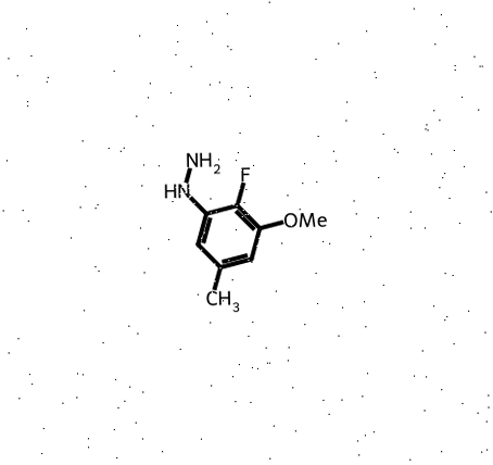 COc1cc(C)cc(NN)c1F